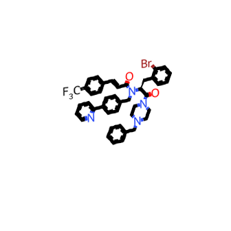 O=C([C@H](Cc1ccccc1Br)N(Cc1ccc(-c2ccccn2)cc1)C(=O)/C=C/c1ccc(C(F)(F)F)cc1)N1CCN(Cc2ccccc2)CC1